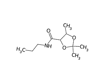 CCCNC(=O)C1OC(C)(C)OC1C